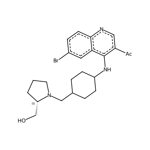 CC(=O)c1cnc2ccc(Br)cc2c1NC1CCC(CN2CCC[C@H]2CO)CC1